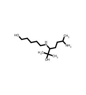 CC(N)CCC(NCCCCCO)C(C)(C)O